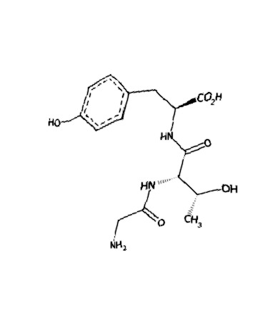 C[C@@H](O)[C@H](NC(=O)CN)C(=O)N[C@@H](Cc1ccc(O)cc1)C(=O)O